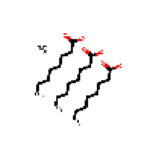 CCCCCCCC(=O)[O-].CCCCCCCC(=O)[O-].CCCCCCCC(=O)[O-].[Al].[Nd+3]